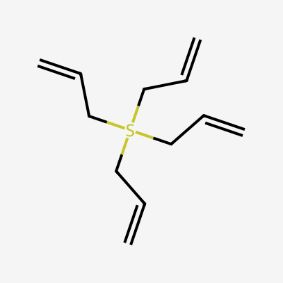 C=CCS(CC=C)(CC=C)CC=C